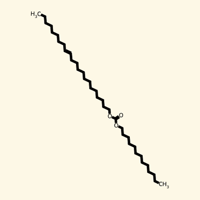 CCCCCCCCC=CCCCCCCCCCCCCOC(=O)OCCCCCCCCCCCCC